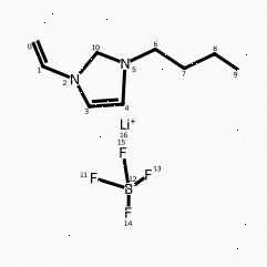 C=CN1C=CN(CCCC)C1.F[B-](F)(F)F.[Li+]